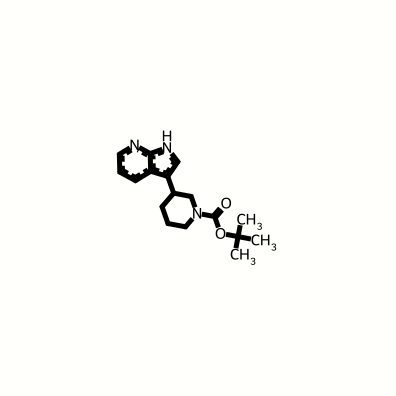 CC(C)(C)OC(=O)N1CCCC(c2c[nH]c3ncccc23)C1